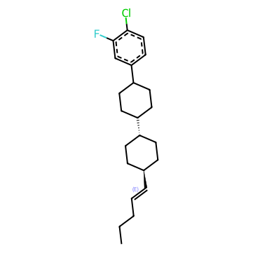 CCC/C=C/[C@H]1CC[C@H](C2CCC(c3ccc(Cl)c(F)c3)CC2)CC1